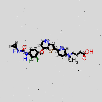 CN(CCCC(=O)O)c1ccc(-c2cc3nccc(Oc4ccc(NC(=O)NC5CC5)c(F)c4F)c3s2)nc1